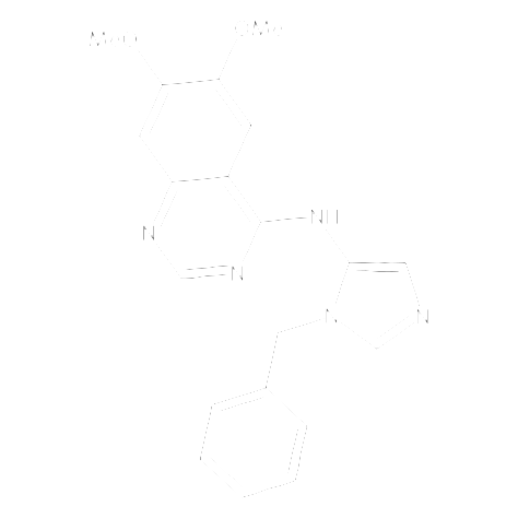 COc1cc2ncnc(Nc3cncn3Cc3ccccc3)c2cc1OC